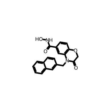 O=C(NO)c1ccc2c(c1)N(Cc1ccc3ccccc3c1)C(=O)CO2